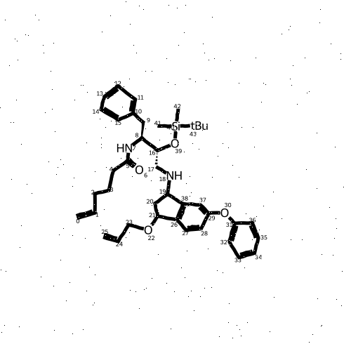 C=CCCCC(=O)N[C@@H](Cc1ccccc1)[C@@H](CNC1CC(OCC=C)c2ccc(Oc3ccccc3)cc21)O[Si](C)(C)C(C)(C)C